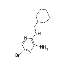 Nc1nc(Br)cnc1NCC1CCCCC1